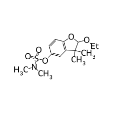 CCOC1Oc2ccc(OS(=O)(=O)N(C)C)cc2C1(C)C